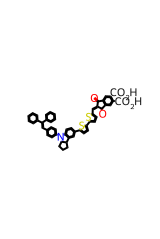 O=C(O)c1cc2c(cc1C(=O)O)C(=O)C(=Cc1ccc(-c3ccc(-c4ccc5c(c4)C4CCCC4N5c4ccc(C=C(c5ccccc5)c5ccccc5)cc4)s3)s1)C2=O